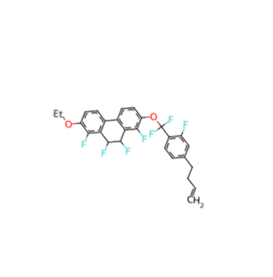 C=CCCc1ccc(C(F)(F)Oc2ccc3c(c2F)C(F)C(F)c2c-3ccc(OCC)c2F)c(F)c1